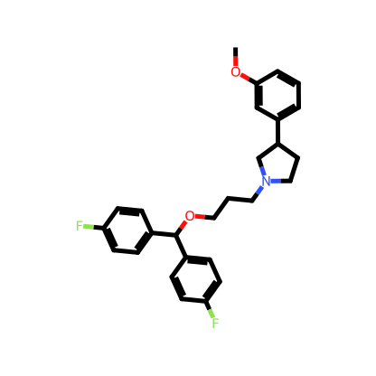 COc1cccc(C2CCN(CCCOC(c3ccc(F)cc3)c3ccc(F)cc3)C2)c1